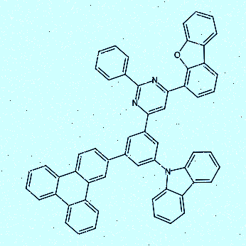 c1ccc(-c2nc(-c3cc(-c4ccc5c6ccccc6c6ccccc6c5c4)cc(-n4c5ccccc5c5ccccc54)c3)cc(-c3cccc4c3oc3ccccc34)n2)cc1